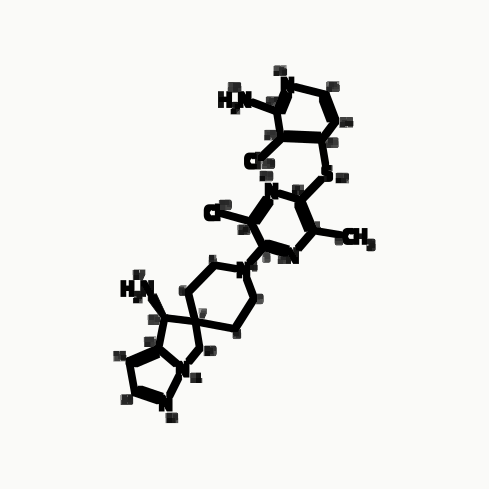 Cc1nc(N2CCC3(CC2)Cn2nccc2[C@H]3N)c(Cl)nc1Sc1ccnc(N)c1Cl